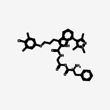 Cc1cc(OCCCc2c(C(=O)NCC(=O)OC(=O)[C@@H](N)Cc3ccccc3)[nH]c3c(-c4c(C)nn(C)c4C)cccc23)cc(C)c1Cl